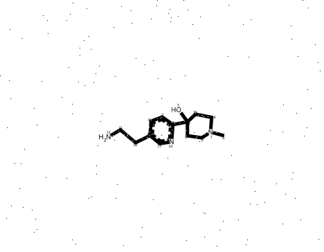 CN1CCC(O)(c2ccc(CCN)cn2)CC1